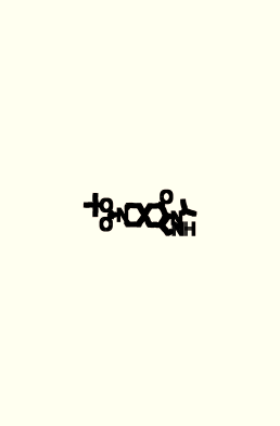 CC(C)N1NCC2=C1C(=O)CC1(CCN(C(=O)OC(C)(C)C)CC1)C2